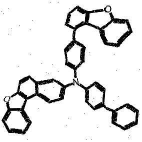 c1ccc(-c2ccc(N(c3ccc(-c4cccc5oc6ccccc6c45)cc3)c3ccc4c(ccc5oc6ccccc6c54)c3)cc2)cc1